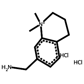 C[N+]1(C)CCCc2ccc(CN)cc21.Cl.Cl